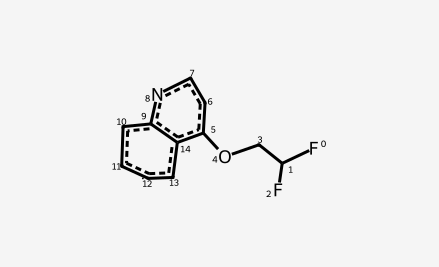 FC(F)COc1ccnc2cc[c]cc12